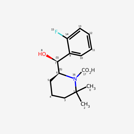 CC1(C)CCC[C@@H]([C@@H](O)c2ccccc2F)N1C(=O)O